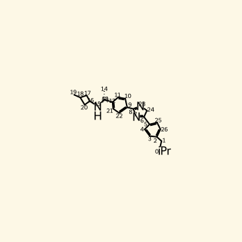 CC(C)Cc1ccc(C2=NC(c3ccc([C@@H](C)NC4CC(C)C4)cc3)=NC2)cc1